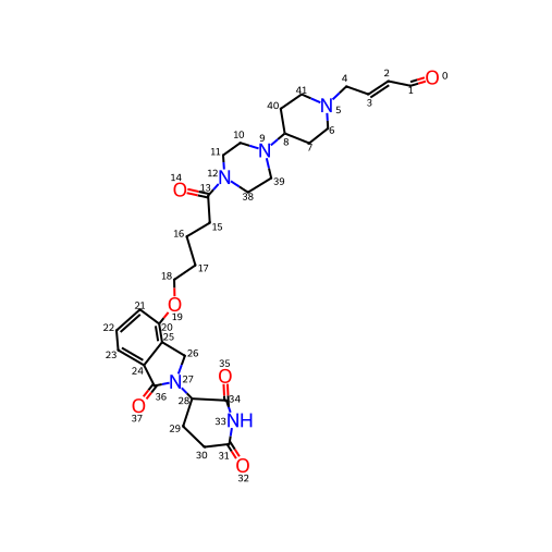 O=C/C=C/CN1CCC(N2CCN(C(=O)CCCCOc3cccc4c3CN(C3CCC(=O)NC3=O)C4=O)CC2)CC1